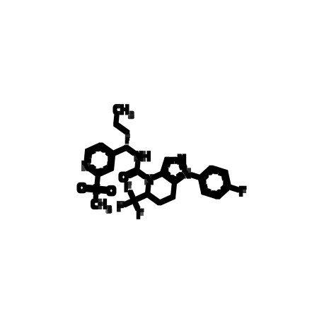 CCC[C@H](NC(=O)N1c2cnn(-c3ccc(F)cc3)c2CCC1C(F)(F)F)c1ccnc(S(C)(=O)=O)c1